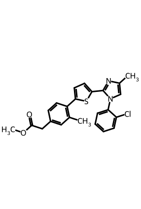 COC(=O)Cc1ccc(-c2ccc(-c3nc(C)cn3-c3ccccc3Cl)s2)c(C)c1